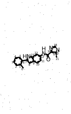 Cc1ccccc1-c1cc2ccc(NC(=O)c3ncnn3C)cc2[nH]1